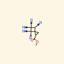 COC(=O)C1CC12C(C#N)C(C#N)(C#N)C2(C#N)C#N